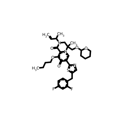 C=CC(C)N1CC(C)(COC2CCCCO2)n2cc(-c3ncc(Cc4ccc(F)cc4F)s3)c(=O)c(OCCCC)c2C1=O